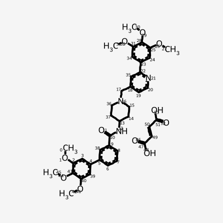 COc1cc(-c2cccc(C(=O)NC3CCN(Cc4ccnc(-c5cc(OC)c(OC)c(OC)c5)c4)CC3)c2)cc(OC)c1OC.O=C(O)C=CC(=O)O